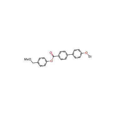 CCOc1ccc(-c2ccc(C(=O)Oc3ccc(COC)cc3)cc2)cc1